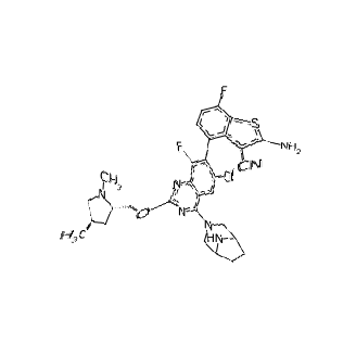 C[C@@H]1C[C@@H](COc2nc(N3CC4CCC(C3)N4)c3cc(Cl)c(-c4ccc(F)c5sc(N)c(C#N)c45)c(F)c3n2)N(C)C1